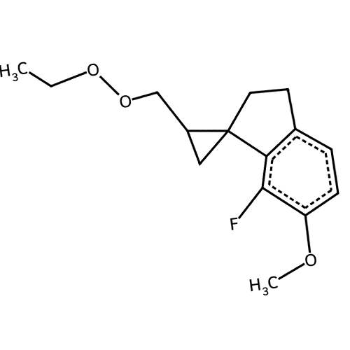 CCOOCC1CC12CCc1ccc(OC)c(F)c12